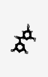 O=C(c1cc(Cl)cc(Cl)c1)c1cc(Cl)cc(Cl)c1